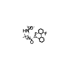 C[S+]([O-])NC[C@@H]1N(C(=O)[C@@H]2C[C@H]2c2ccccc2-c2c(F)cccc2F)CC1(C)C